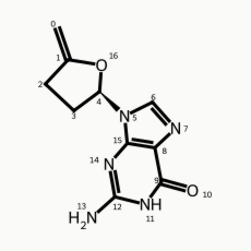 C=C1CC[C@H](n2cnc3c(=O)[nH]c(N)nc32)O1